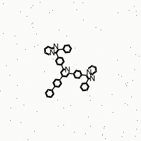 c1ccc(-c2ccc(-c3cc(-c4ccc(-c5c(-c6ccccc6)nc6ccccn56)cc4)nc(-c4ccc(-c5c(-c6ccccc6)nc6ccccn56)cc4)c3)cc2)cc1